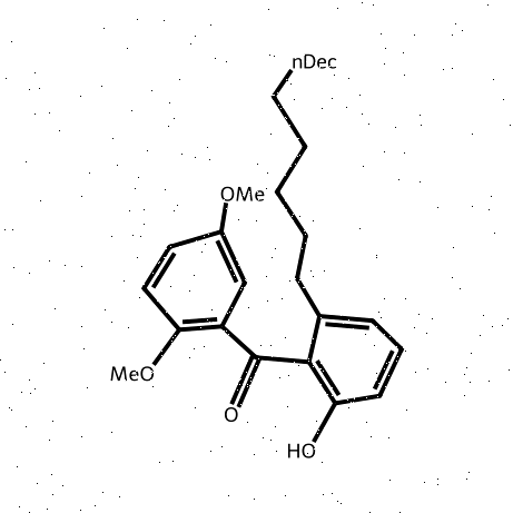 CCCCCCCCCCCCCCCc1cccc(O)c1C(=O)c1cc(OC)ccc1OC